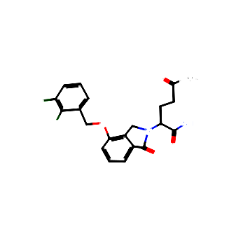 COC(=O)CCC(C(N)=O)N1Cc2c(OCc3cccc(Cl)c3Cl)cccc2C1=O